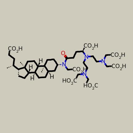 C[C@H](CCC(=O)O)[C@H]1CC[C@H]2[C@@H]3CC[C@@H]4C[C@@H](N(CC(=O)O)C(=O)CC[C@@H](C(=O)O)N(CCN(CC(=O)O)CC(=O)O)CCN(CC(=O)O)CC(=O)O)CC[C@]4(C)[C@H]3CC[C@]12C